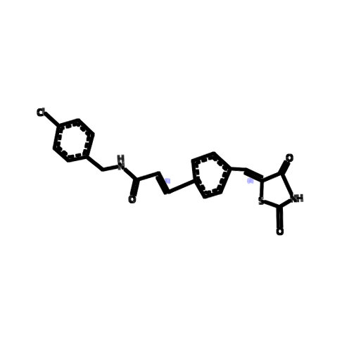 O=C(/C=C/c1ccc(/C=C2\SC(=O)NC2=O)cc1)NCc1ccc(Cl)cc1